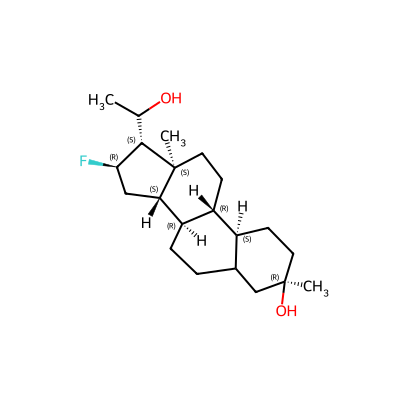 CC(O)[C@H]1[C@H](F)C[C@H]2[C@@H]3CCC4C[C@](C)(O)CC[C@@H]4[C@H]3CC[C@@]21C